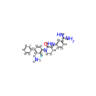 CN(C)Cc1c(-c2ccccc2)ccc(N2CCCC(Nc3cccc(C(=N)N)c3)C2=O)c1F